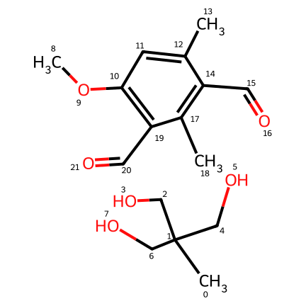 CC(CO)(CO)CO.COc1cc(C)c(C=O)c(C)c1C=O